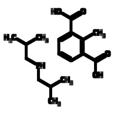 CC(C)CPCC(C)C.Cc1c(C(=O)O)cccc1C(=O)O